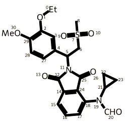 CCOc1cc(C(CS(C)(=O)=O)N2C(=O)c3cccc(N(C=O)C4CC4)c3C2=O)ccc1OC